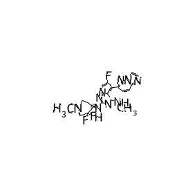 CNc1nc(N[C@@H]2CCN(C)CC2(F)F)nn2cc(F)c(-c3ccc4nccn4n3)c12